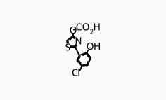 O=C(O)Oc1csc(-c2cc(Cl)ccc2O)n1